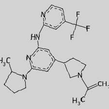 C=C(C)N1CCC(c2cc(Nc3cc(C(F)(F)F)ccn3)nc(N3CCCC3C)c2)C1